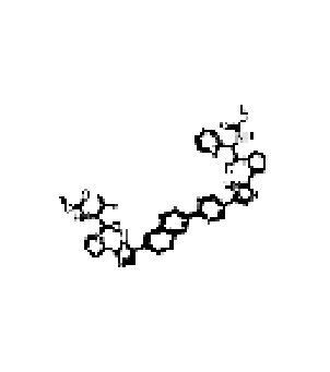 COC(=O)NC(C(=O)N1CCCC1c1ncc(-c2ccc(-c3ccc4cc(-c5cnc(C6CCCN6C(=O)C(NC(=O)OC)C(C)C)[nH]5)ccc4c3)cc2)[nH]1)c1ccccn1